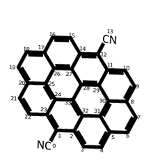 N#Cc1c2ccc3ccc4ccc5c(C#N)c6ccc7ccc8ccc1c1c8c7c6c6c5c4c3c2c16